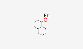 CCOC1CCCC2CCCCC21